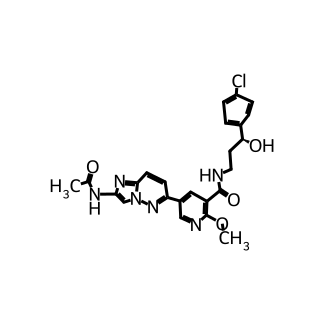 COc1ncc(-c2ccc3nc(NC(C)=O)cn3n2)cc1C(=O)NCC[C@H](O)c1ccc(Cl)cc1